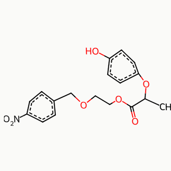 CC(Oc1ccc(O)cc1)C(=O)OCCOCc1ccc([N+](=O)[O-])cc1